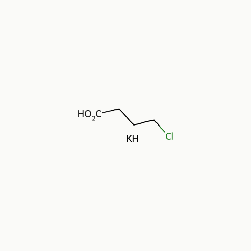 O=C(O)CCCCl.[KH]